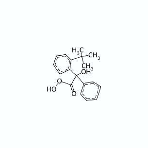 CC(C)(C)c1ccccc1C(O)(C(=O)OO)c1ccccc1